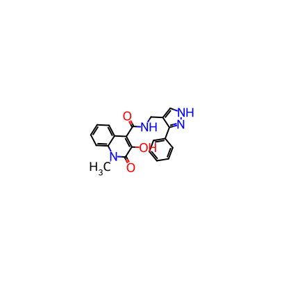 Cn1c(=O)c(O)c(C(=O)NCc2c[nH]nc2-c2ccccc2)c2ccccc21